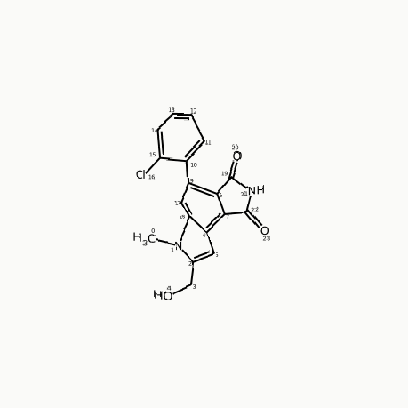 Cn1c(CO)cc2c3c(c(-c4ccccc4Cl)cc21)C(=O)NC3=O